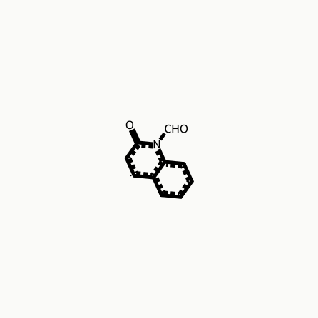 O=Cn1c(=O)c[c]c2ccccc21